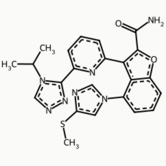 CSc1cn(-c2cccc3oc(C(N)=O)c(-c4cccc(-c5nncn5C(C)C)n4)c23)cn1